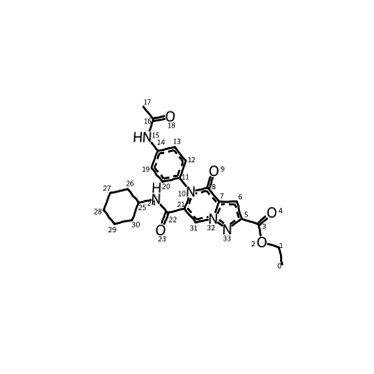 CCOC(=O)c1cc2c(=O)n(-c3ccc(NC(C)=O)cc3)c(C(=O)NC3CCCCC3)cn2n1